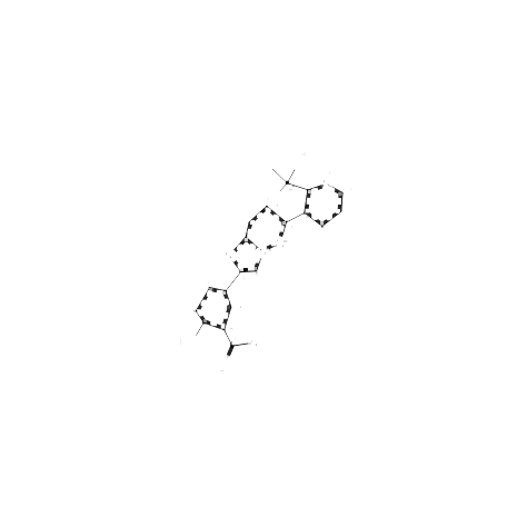 Cc1ccc(-c2cn3nc(-c4cccnc4C(F)(F)F)ccc3n2)cc1C(N)=O